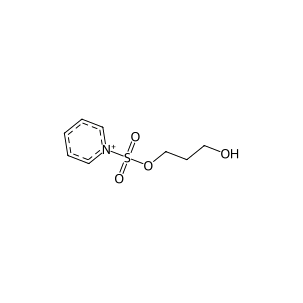 O=S(=O)(OCCCO)[n+]1ccccc1